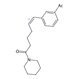 CC(=O)c1cccc(/C=C\CCCC(=O)N2CCCCC2)c1